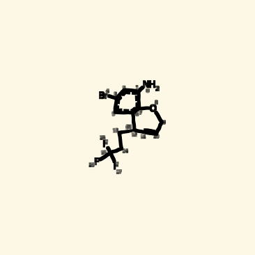 Nc1cc(Br)cc2c1OCC=C[C@H]2CCC(F)(F)F